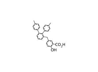 Cc1ccc(-c2cccc(Cc3ccc(O)c(C(=O)O)c3)c2-c2ccc(C)cc2)cc1